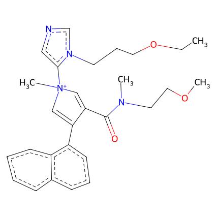 CCOCCCn1cncc1[N+]1(C)C=C(C(=O)N(C)CCOC)C(c2cccc3ccccc23)=C1